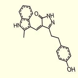 Cc1[nH]c2ccccc2c1C=C1C(=O)NN=C1CCc1ccc(O)cc1